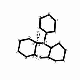 B1C2CCCCC2N(C2CCCCC2)[C@@H]2CCCCC12